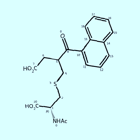 CC(=O)N[C@@H](CSCC(CC(=O)O)C(=O)c1cccc2ccccc12)C(=O)O